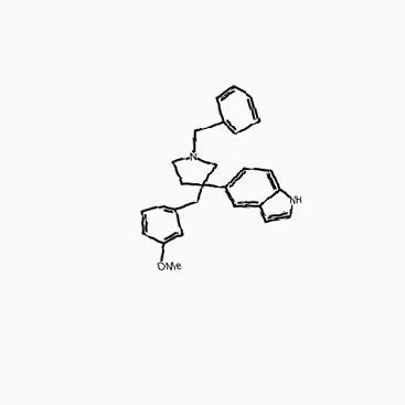 COc1cccc(CC2(c3ccc4[nH]ccc4c3)CCN(Cc3ccccc3)C2)c1